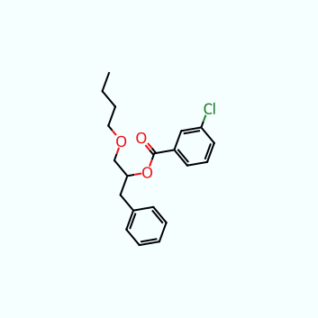 CCCCOCC(Cc1ccccc1)OC(=O)c1cccc(Cl)c1